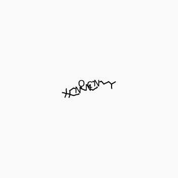 CC(C)CCCN1CCN(CC(=O)N2CCC(C)(C(C)(C)C)CC2)CC1